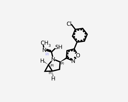 C/N=C(\S)N1[C@@H](c2cc(-c3cccc(Cl)c3)on2)C[C@H]2C[C@H]21